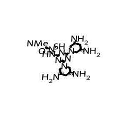 CNC(=O)N(S)Nc1nc(N2C[C@H](N)C[C@H](N)C2)nc(N2C[C@H](N)C[C@H](N)C2)n1